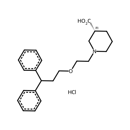 Cl.O=C(O)[C@@H]1CCCN(CCOCCC(c2ccccc2)c2ccccc2)C1